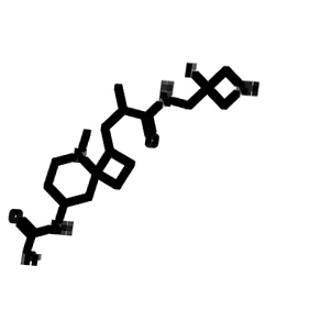 CC(C)C(=O)NC1CCN(C)C2(CCC2CC(C)C(=O)NCC2(F)CNC2)C1